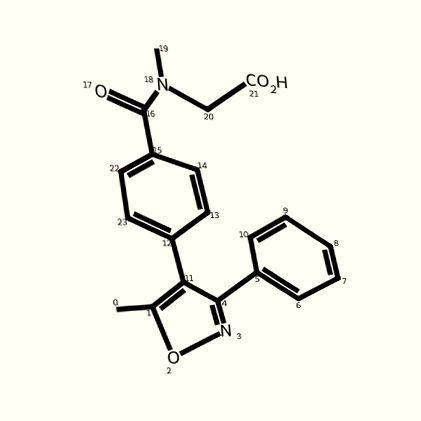 Cc1onc(-c2ccccc2)c1-c1ccc(C(=O)N(C)CC(=O)O)cc1